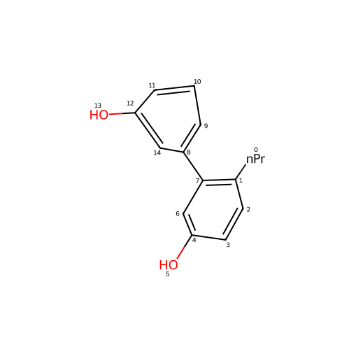 CCCc1ccc(O)cc1-c1cccc(O)c1